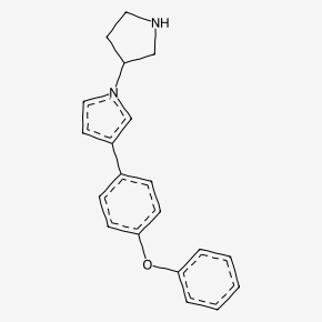 c1ccc(Oc2ccc(-c3ccn(C4CCNC4)c3)cc2)cc1